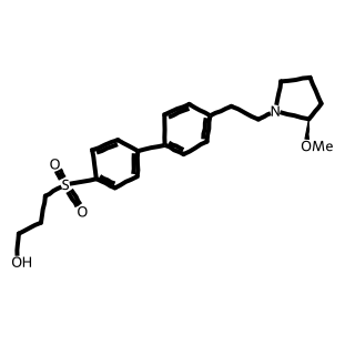 CO[C@@H]1CCCN1CCc1ccc(-c2ccc(S(=O)(=O)CCCO)cc2)cc1